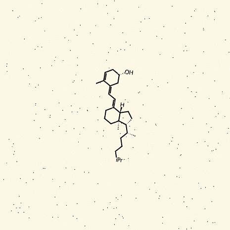 CC1=CC[C@H](O)C/C1=C\C=C1/CCC[C@]2(C)[C@@H]([C@H](C)CCCC(C)C)CC[C@@H]12